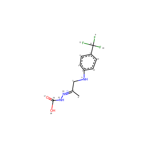 C/C(CNc1ccc(C(F)(F)F)cc1)=N\NC(=O)O